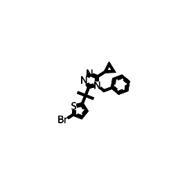 CC(C)(c1ccc(Br)s1)c1nnc(C2CC2)n1Cc1ccccc1